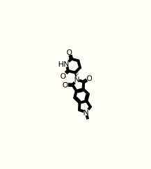 CN1Cc2cc3c(cc2C1)C(=O)N([C@@H]1CCC(=O)NC1=O)C3=O